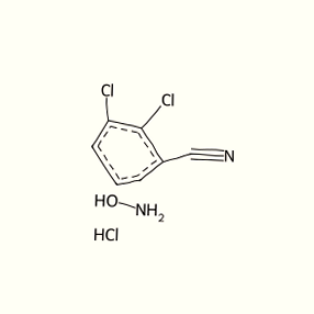 Cl.N#Cc1cccc(Cl)c1Cl.NO